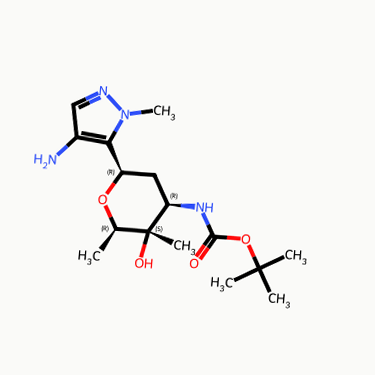 C[C@H]1O[C@@H](c2c(N)cnn2C)C[C@@H](NC(=O)OC(C)(C)C)[C@]1(C)O